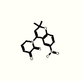 CC1(C)C=C(N2CC=CC(=O)C2=S)c2cc([N+](=O)[O-])ccc2O1